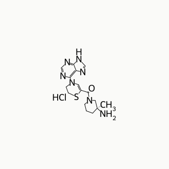 C[C@]1(N)CCCN(C(=O)C2=CN(c3ncnc4[nH]cnc34)CCS2)C1.Cl